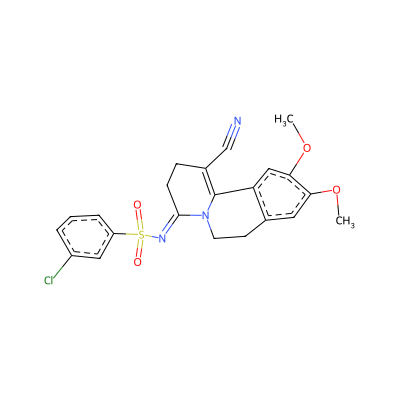 COc1cc2c(cc1OC)C1=C(C#N)CCC(=NS(=O)(=O)c3cccc(Cl)c3)N1CC2